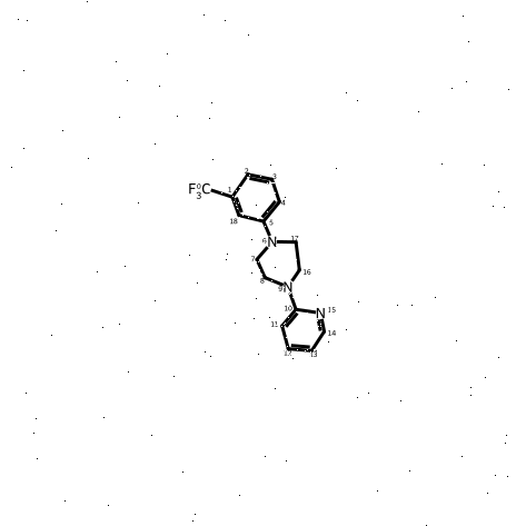 FC(F)(F)c1cccc(N2CCN(c3cc[c]cn3)CC2)c1